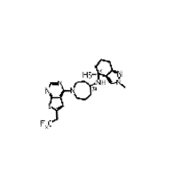 Cn1cc2c(n1)CCC[C@@]2(S)N[C@H]1CCCN(c2ncnc3sc(CC(F)(F)F)cc23)CC1